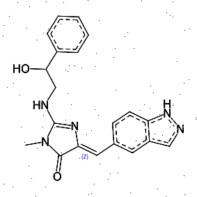 CN1C(=O)/C(=C/c2ccc3[nH]ncc3c2)N=C1NCC(O)c1ccccc1